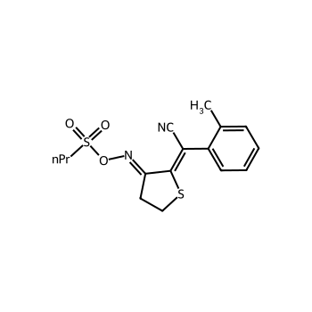 CCCS(=O)(=O)ON=C1CCSC1=C(C#N)c1ccccc1C